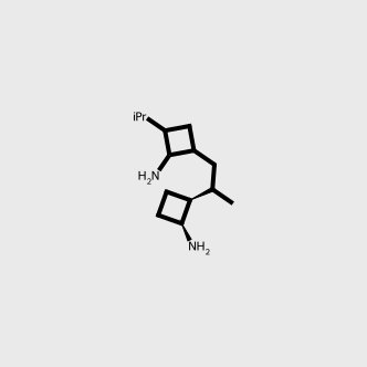 CC(C)C1CC(CC(C)[C@@H]2CC[C@@H]2N)C1N